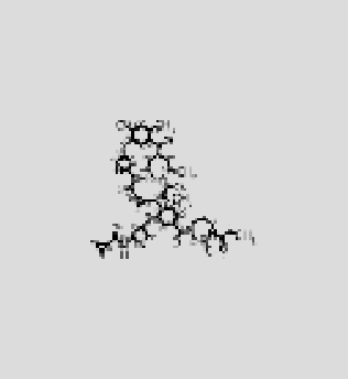 C=CC(=O)N1CCCN(C(=O)c2cc(C)c(CC3CC3C(=O)Nc3ncc(Sc4cc(C(=O)N5CCCN(C(=O)C=C)[C@H](C)C5)c(C)cc4Cl)s3)c(Sc3cnc(NC(=O)C4CC4)s3)c2)C[C@H]1C